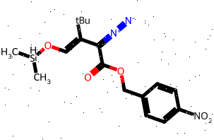 C[SiH](C)OC=C(C(=[N+]=[N-])C(=O)OCc1ccc([N+](=O)[O-])cc1)C(C)(C)C